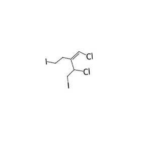 ClC=C(CCI)C(Cl)CI